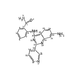 NC(=O)c1ccccc1Nc1nc(-c2cccnc2)nc2cc(N)ccc12